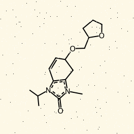 CC(C)n1c2c(n(C)c1=O)CC(OCC1CCCO1)C=C2